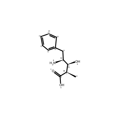 C[C@@H](C(=O)O)[C@H](O)[C@@H](N)Cc1cccnc1